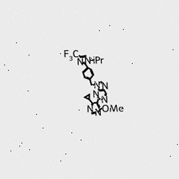 COc1ncnc(C2CC2)c1-c1ncc2ncn(Cc3ccc(-c4nc(C(F)(F)F)cn4C(C)C)cc3)c2n1